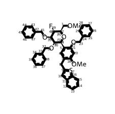 COC[C@H]1O[C@@H](c2cc(Cc3cc4ccccc4s3)c(OC)cc2OCc2ccccc2)[C@H](OCc2ccccc2)[C@@H](OCc2ccccc2)[C@@H]1F